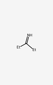 [CH2]CC(=N)CC